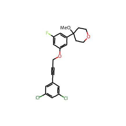 COC1(c2cc(F)cc(OCC#Cc3cc(Cl)cc(Cl)c3)c2)CCOCC1